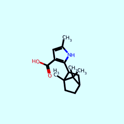 Cc1cc(C(=O)O)c(C2CC3CCC2(C)C3(C)C)[nH]1